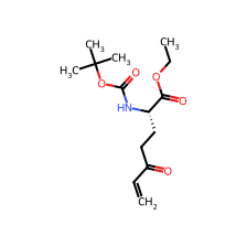 C=CC(=O)CC[C@H](NC(=O)OC(C)(C)C)C(=O)OCC